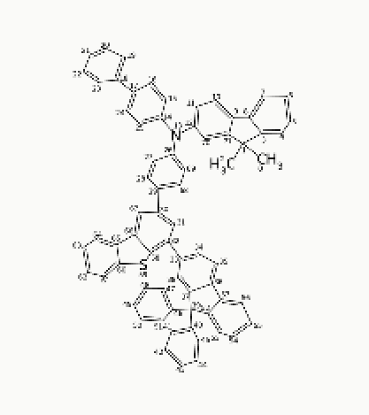 CC1(C)c2ccccc2-c2ccc(N(c3ccc(-c4ccccc4)cc3)c3ccc(-c4cc(-c5ccc6c(c5)C(c5ccccc5)(c5ccccc5)c5ccccc5-6)c5sc6ccccc6c5c4)cc3)cc21